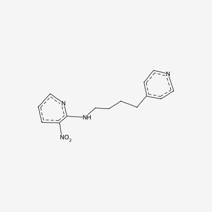 O=[N+]([O-])c1cccnc1NCCCCc1ccncc1